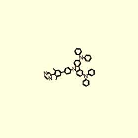 Cc1cc(-c2ccc(-n3c4ccc(N(c5ccccc5)c5ccccc5)cc4c4cc(N(c5ccccc5)c5ccccc5)ccc43)cc2)cc(C)c1-c1cnccn1